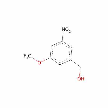 O=[N+]([O-])c1cc(CO)cc(OC(F)(F)F)c1